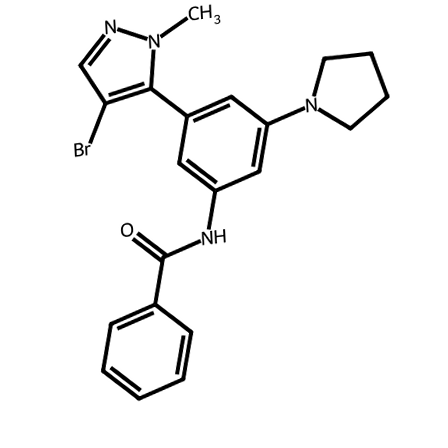 Cn1ncc(Br)c1-c1cc(NC(=O)c2ccccc2)cc(N2CCCC2)c1